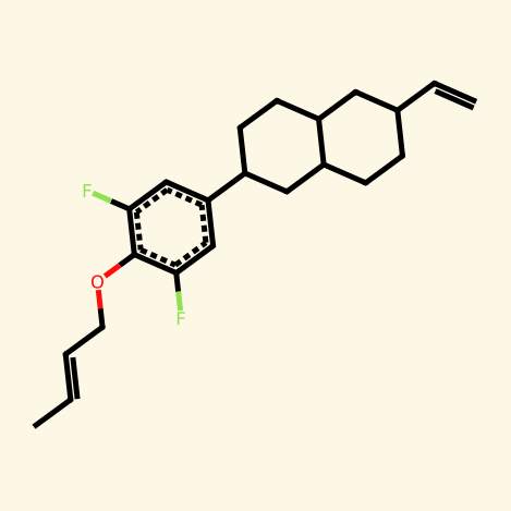 C=CC1CCC2CC(c3cc(F)c(OC/C=C/C)c(F)c3)CCC2C1